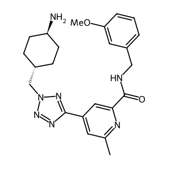 COc1cccc(CNC(=O)c2cc(-c3nnn(C[C@H]4CC[C@H](N)CC4)n3)cc(C)n2)c1